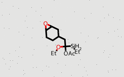 CCOC(CC1CCC2OC2C1)(OC(C)=O)[SiH2]CC